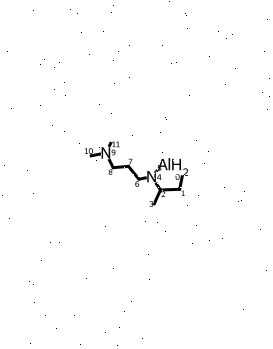 CCC(C)[N]([AlH2])CCCN(C)C